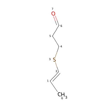 CC=CSCCC=O